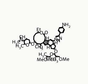 CC[C@H]1CCC[C@H](O[C@H]2CC[C@H](N(C)C)C(C)O2)[C@@H](C)C(=O)C2=C[C@@H]3[C@@H](C=C(n4cc(-c5ccc(N)cc5)nn4)[C@@H]4C[C@@H](OC(OC(C)[C@@H](C)OC)[C@H](COC)OC)C[C@@H]34)[C@@H]2CC(=O)O1